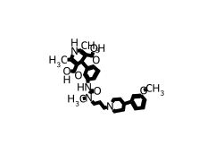 COc1cccc(C2CCN(CCCN(C)C(=O)Nc3cccc(C4C(C(=O)O)=C(C)NC(C)=C4C(=O)O)c3)CC2)c1